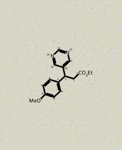 CCOC(=O)CC(c1ccc(OC)cc1)c1cncnc1